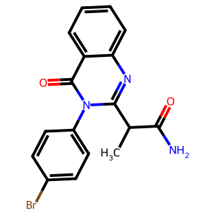 CC(C(N)=O)c1nc2ccccc2c(=O)n1-c1ccc(Br)cc1